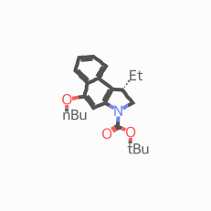 CCCCOc1cc2c(c3ccccc13)[C@H](CC)CN2C(=O)OC(C)(C)C